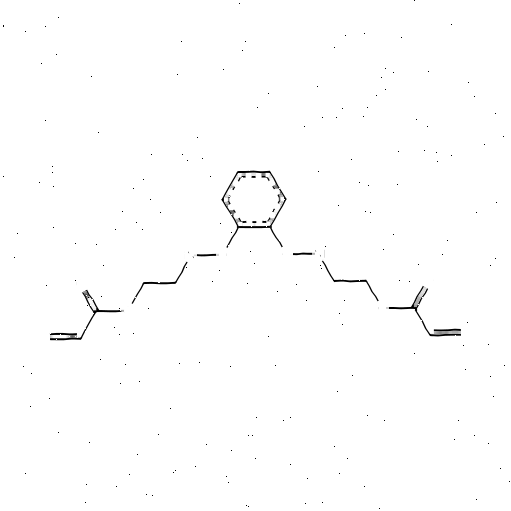 C=CC(=O)OCCNOc1ccccc1ONCCOC(=O)C=C